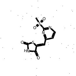 CS(=O)(=O)c1nccc(/C=C2\SC(=O)NC2=O)n1